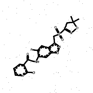 CC1(C)CC(S(=O)(=O)Cc2noc3cc(NC(=O)c4cccnc4Cl)c(F)cc23)=NO1